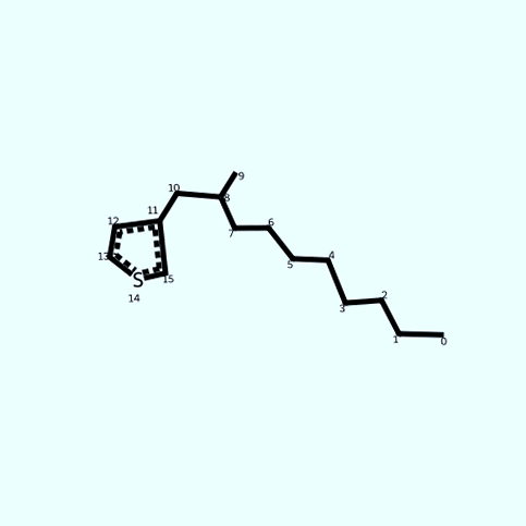 CCCCCCCCC(C)Cc1ccsc1